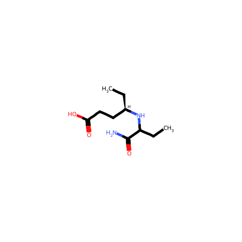 CCC(N[C@H](CC)CCC(=O)O)C(N)=O